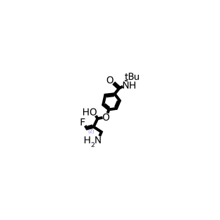 CC(C)(C)NC(=O)c1ccc(OC(O)/C(=C\F)CN)cc1